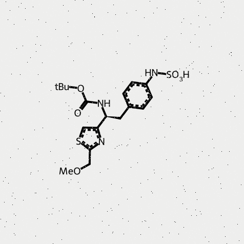 COCc1nc([C@H](Cc2ccc(NS(=O)(=O)O)cc2)NC(=O)OC(C)(C)C)cs1